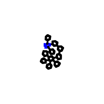 c1ccc(-c2cc(-c3cccc(-c4cccc(-c5cccc(-n6c(-c7ccccc7)nnc6-c6ccccc6)c5)c4)c3)c(-c3ccccc3)c(-c3ccccc3)c2-c2ccccc2)cc1